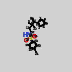 C=C(c1ccccc1)C(C)(C)CCNS(=O)(=O)c1ccc(C)cc1